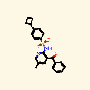 Cc1cnc(NS(=O)(=O)c2ccc(C3CCC3)cc2)c(C(=O)c2ccccc2)c1